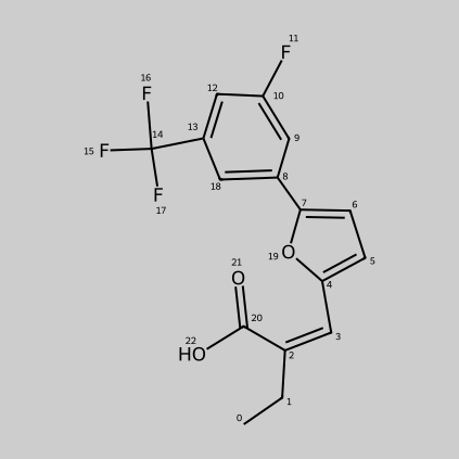 CCC(=Cc1ccc(-c2cc(F)cc(C(F)(F)F)c2)o1)C(=O)O